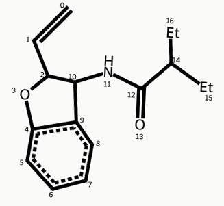 C=CC1Oc2ccccc2C1NC(=O)C(CC)CC